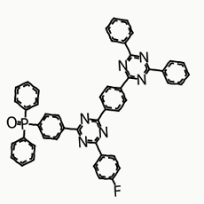 O=P(c1ccccc1)(c1ccccc1)c1ccc(-c2nc(-c3ccc(F)cc3)nc(-c3ccc(-c4nc(-c5ccccc5)nc(-c5ccccc5)n4)cc3)n2)cc1